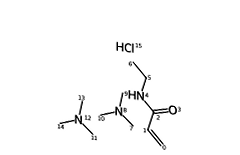 C=CC(=O)NCC.CN(C)C.CN(C)C.Cl